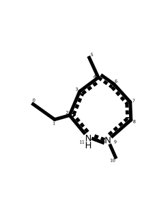 CCc1cc(C)cccn(C)[nH]1